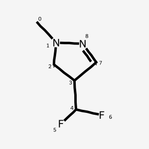 CN1[CH]C(C(F)F)[C]=N1